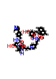 Cc1ncsc1-c1ccc(CNC(=O)[C@@H]2C[C@@H](O)CN2C(=O)[C@@H](NC(=O)CCCN2CCC(CCCNC(=O)O[C@@H]3C[C@H](C)C=C4C=C[C@@H](C)[C@@H](CC[C@H]5C[C@H](O)CC(=O)O5)[C@@H]43)CC2)C(C)(C)C)cc1